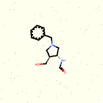 O=CN[C@H]1CN(Cc2ccccc2)C[C@@H]1CO